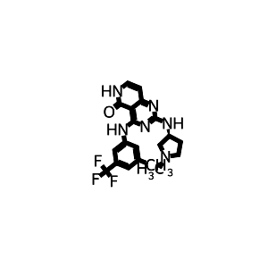 Cc1cc(Nc2nc(N[C@H]3CCN(C)C3)nc3cc[nH]c(=O)c23)cc(C(F)(F)F)c1